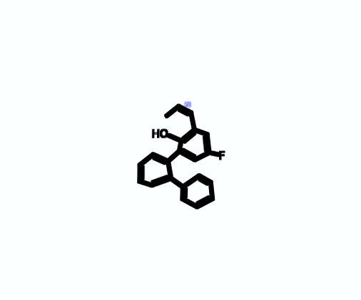 C/C=C\c1cc(F)cc(-c2ccccc2-c2ccccc2)c1O